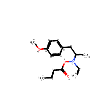 CCCC(=O)ON(CC)C(C)Cc1ccc(OC)cc1